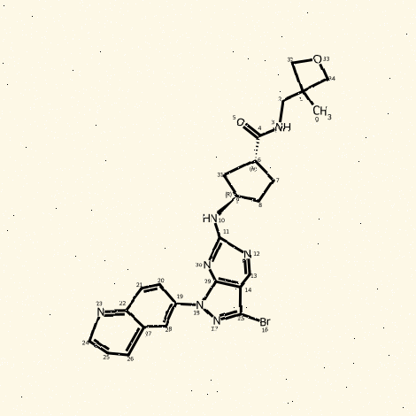 CC1(CNC(=O)[C@@H]2CC[C@@H](Nc3ncc4c(Br)nn(-c5ccc6ncccc6c5)c4n3)C2)COC1